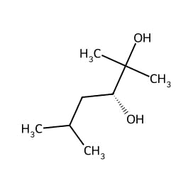 CC(C)C[C@@H](O)C(C)(C)O